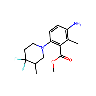 COC(=O)c1c(N2CCC(F)(F)C(C)C2)ccc(N)c1C